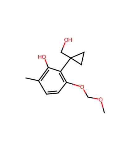 COCOc1ccc(C)c(O)c1C1(CO)CC1